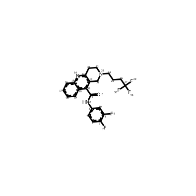 O=C(Nc1ccc(F)c(F)c1)c1c2c(nc3ccccc13)CCN(CCCC(F)(F)F)C2